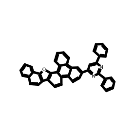 c1ccc(-c2cc(-c3ccc4c(c3)c3ccccc3c3c4ccc4c5ccc6ccccc6c5oc43)nc(-c3ccccc3)n2)cc1